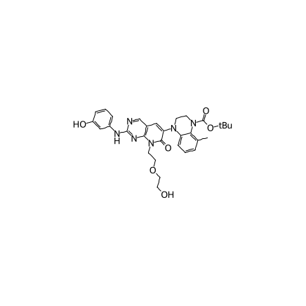 Cc1cccc2c1N(C(=O)OC(C)(C)C)CCN2c1cc2cnc(Nc3cccc(O)c3)nc2n(CCOCCO)c1=O